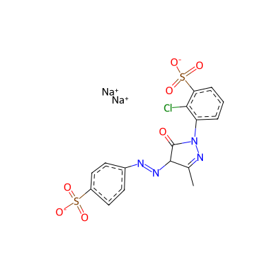 CC1=NN(c2cccc(S(=O)(=O)[O-])c2Cl)C(=O)C1N=Nc1ccc(S(=O)(=O)[O-])cc1.[Na+].[Na+]